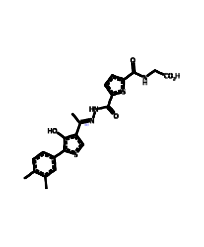 C/C(=N\NC(=O)c1ccc(C(=O)NCC(=O)O)s1)c1csc(-c2ccc(C)c(C)c2)c1O